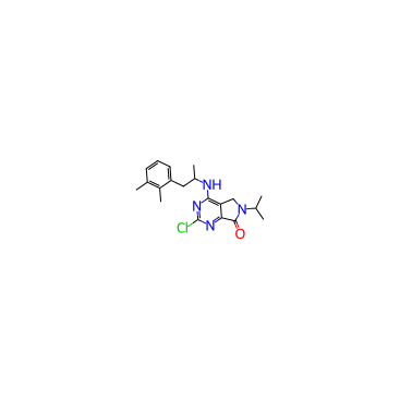 Cc1cccc(CC(C)Nc2nc(Cl)nc3c2CN(C(C)C)C3=O)c1C